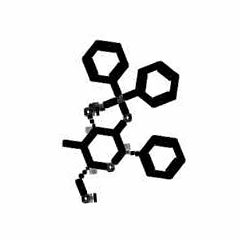 CC1[C@H](O)C(O[Si](c2ccccc2)(c2ccccc2)C(C)(C)C)[C@H](c2ccccc2)O[C@@H]1CO